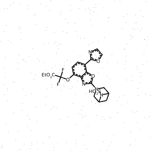 CCOC(=O)C(F)(F)Oc1ccc(-c2ncco2)c2oc(N3CC4CC(C3)N4C(=O)O)nc12